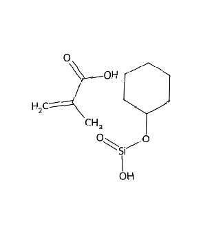 C=C(C)C(=O)O.O=[Si](O)OC1CCCCC1